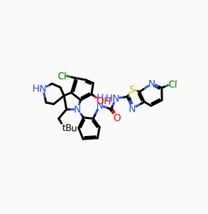 CC(C)(C)CC1N(c2ccccc2NC(=O)Nc2nc3ccc(Cl)nc3s2)c2c(O)ccc(Cl)c2C12CCNCC2